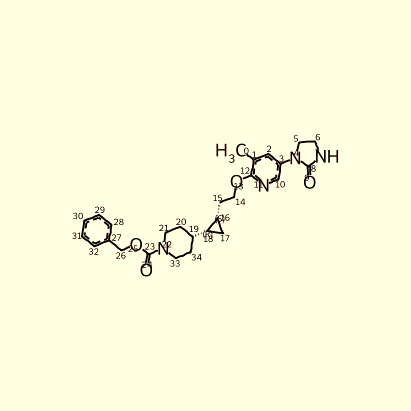 Cc1cc(N2CCNC2=O)cnc1OCC[C@@H]1C[C@@H]1C1CCN(C(=O)OCc2ccccc2)CC1